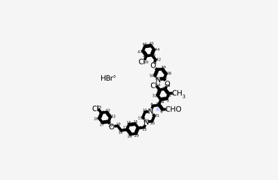 Br.Cc1cc(/C(=C\C=O)CN2CCN(Cc3ccc(CCOc4ccc(Cl)cc4)cc3)CC2)cc(Cl)c1Oc1ccc(OCc2ccccc2Cl)cn1